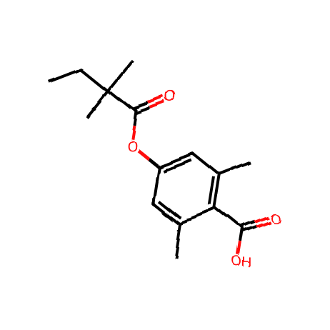 CCC(C)(C)C(=O)Oc1cc(C)c(C(=O)O)c(C)c1